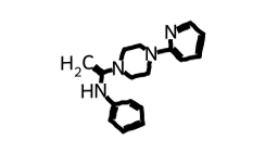 C=C(Nc1ccccc1)N1CCN(c2ccccn2)CC1